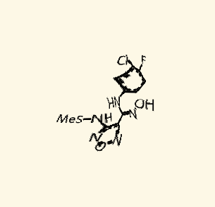 CSNc1nonc1/C(=N/O)Nc1ccc(F)c(Cl)c1